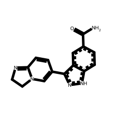 NC(=O)c1ccc2[nH]nc(C3=CN4CCN=C4C=C3)c2c1